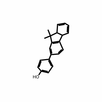 CC1(C)c2cc(-c3ccc(O)cc3)ccc2C2C=CC=CC21